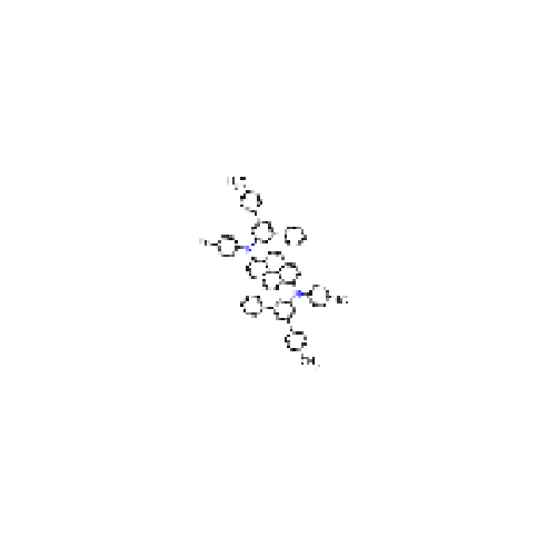 CCc1ccc(N(c2cc(-c3ccccc3)cc(-c3ccc(C)cc3)c2)c2ccc3ccc4c(N(c5ccc(CC)cc5)c5cc(-c6ccccc6)cc(-c6ccc(C)cc6)c5)ccc5ccc2c3c54)cc1